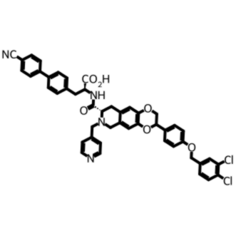 N#Cc1ccc(-c2ccc(C[C@H](NC(=O)[C@@H]3Cc4cc5c(cc4CN3Cc3ccncc3)OC(c3ccc(OCc4ccc(Cl)c(Cl)c4)cc3)CO5)C(=O)O)cc2)cc1